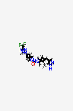 O=C(N1CC2(CC(Cc3cn[nH]c3C(F)(F)F)C2)C1)N1CC2(CC(n3cnc(C(F)F)n3)C2)C1